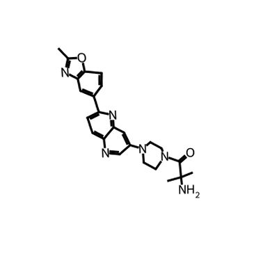 Cc1nc2cc(-c3ccc4ncc(N5CCN(C(=O)C(C)(C)N)CC5)cc4n3)ccc2o1